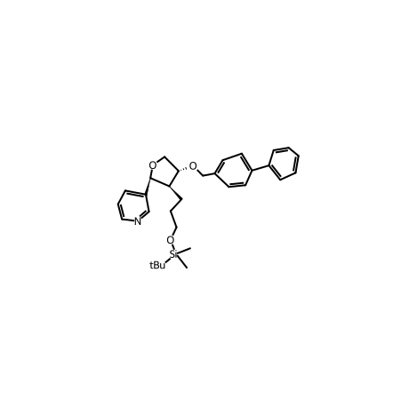 CC(C)(C)[Si](C)(C)OCCC[C@@H]1[C@@H](OCc2ccc(-c3ccccc3)cc2)CO[C@@H]1c1cccnc1